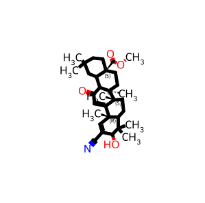 COC(=O)[C@]12CCC(C)(C)CC1C1C(=O)C=C3[C@@]4(C)C=C(C#N)C(O)C(C)(C)C4CC[C@@]3(C)[C@]1(C)CC2